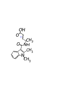 Cc1c(C(=O)NC(C)/C=C/C(=O)O)c2ccccc2n1C